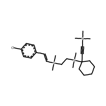 C[Si](C)(C)C#CC1([Si](C)(C)CC[Si](C)(C)C=Cc2ccc(Cl)cc2)CCCCC1